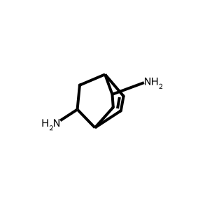 NC1CC2C=CC1CC2N